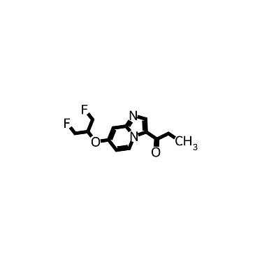 CCC(=O)c1cnc2cc(OC(CF)CF)ccn12